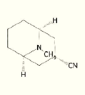 CN1[C@@H]2CCC[C@H]1C[C@H](C#N)C2